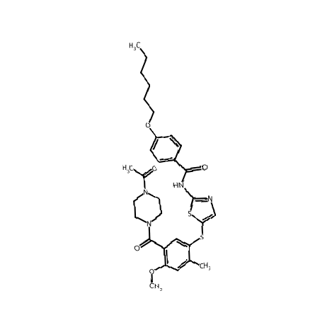 CCCCCCOc1ccc(C(=O)Nc2ncc(Sc3cc(C(=O)N4CCN(C(C)=O)CC4)c(OC)cc3C)s2)cc1